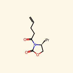 C=CCCC(=O)N1C(=O)OC[C@@H]1C(C)C